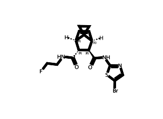 O=C(NCCF)[C@H]1[C@H](C(=O)Nc2ncc(Br)s2)[C@@H]2C=C[C@H]1C21CC1